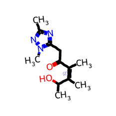 C/C(C(=O)Cc1nc(C)nn1C)=C(\C)C(C)O